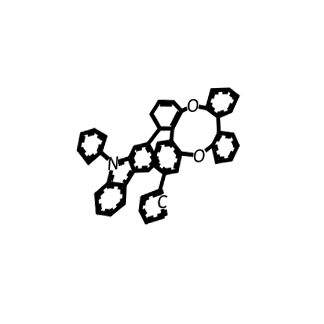 C1=CC2=C(c3ccc(-c4ccccc4)cc3Oc3ccccc3-c3ccccc3O2)C(c2ccc3c4ccccc4n(-c4ccccc4)c3c2)C1